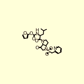 CC(C)CC(NC(=O)Oc1ccco1)C(=O)N1CCC2C1C(=O)CN2S(=O)(=O)Cc1ccccn1